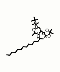 CCCCCCCCCCCCCC[C@H]1OC(C)(C)O[C@H]1[C@H](CO[Si](C)(C)C(C)(C)C)NC(C)=O